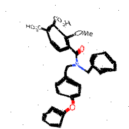 COc1c(C(=O)N(Cc2ccccc2)Cc2ccc(Oc3ccccc3)cc2)ccc(C(=O)O)c1C(=O)O